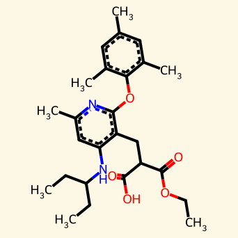 CCOC(=O)C(Cc1c(NC(CC)CC)cc(C)nc1Oc1c(C)cc(C)cc1C)C(=O)O